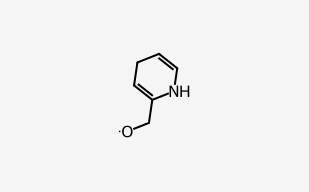 [O]CC1=CCC=CN1